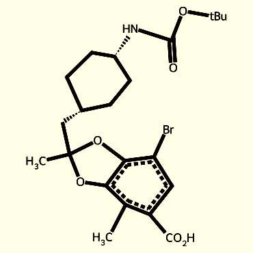 Cc1c(C(=O)O)cc(Br)c2c1OC(C)(C[C@H]1CC[C@@H](NC(=O)OC(C)(C)C)CC1)O2